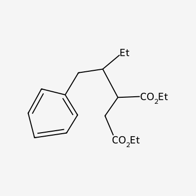 CCOC(=O)CC(C(=O)OCC)C(CC)Cc1ccccc1